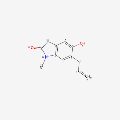 C=CCc1cc2c(cc1O)CC(=O)N2CC